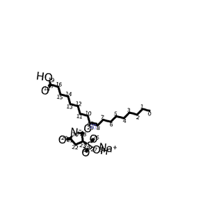 CCCCCCCC/C=C\CCCCCCCC(=O)O.O=C1CC(S(=O)(=O)O)C(=O)[N-]1.[Na+]